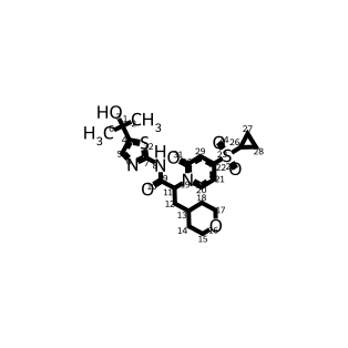 CC(C)(O)c1cnc(NC(=O)C(CC2CCOCC2)n2ccc(S(=O)(=O)C3CC3)cc2=O)s1